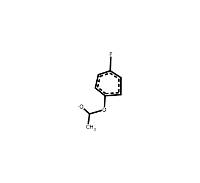 CC([O])Oc1ccc(F)cc1